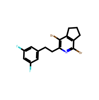 Fc1cc(F)cc(CCc2nc(Br)c3c(c2Br)CCC3)c1